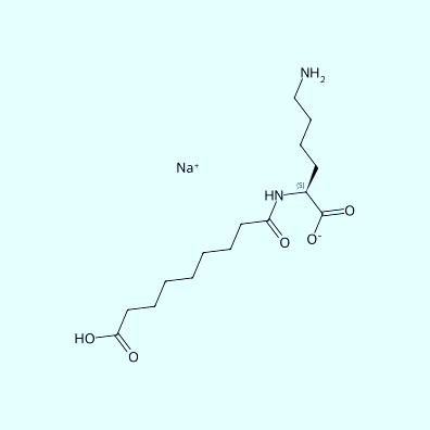 NCCCC[C@H](NC(=O)CCCCCCCC(=O)O)C(=O)[O-].[Na+]